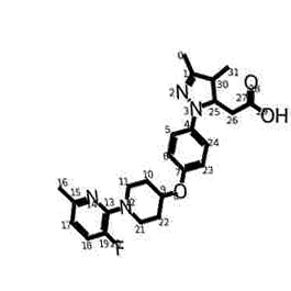 CC1=NN(c2ccc(OC3CCN(c4nc(C)ccc4F)CC3)cc2)C(CC(=O)O)C1C